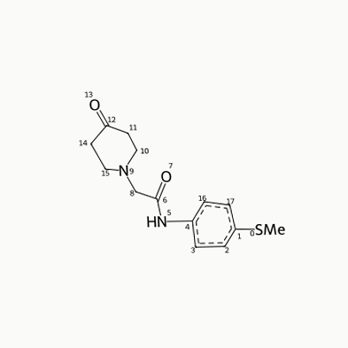 CSc1ccc(NC(=O)CN2CCC(=O)CC2)cc1